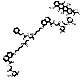 COc1cccc2c1C(=O)c1c(O)c3c(c(O)c1C2=O)C[C@@](O)(C(=O)CO)C[C@@H]3O[C@H]1C[C@H](NC(=O)[C@@H]2CC(F)(F)CN2C(=O)CNC(=O)c2ccnc3ccc(OCCCCNC(=O)[C@H](CCC(=O)NCCCCOc4ccc5nccc(C(=O)NCC(=O)N6CC(F)(F)C[C@@H]6C#N)c5c4)NC(=O)OCc4ccccc4)cc23)[C@H](O)[C@H](C)O1